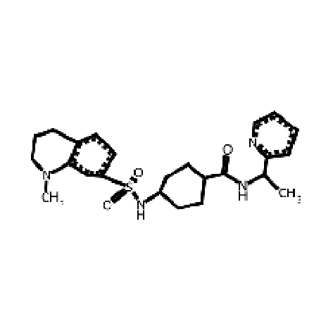 CC(NC(=O)C1CCC(NS(=O)(=O)c2ccc3c(c2)N(C)CCC3)CC1)c1ccccn1